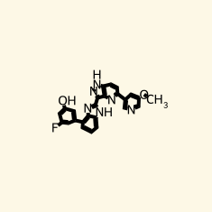 COc1cncc(-c2ccc3[nH]nc(-c4nc5c(-c6cc(O)cc(F)c6)cccc5[nH]4)c3n2)c1